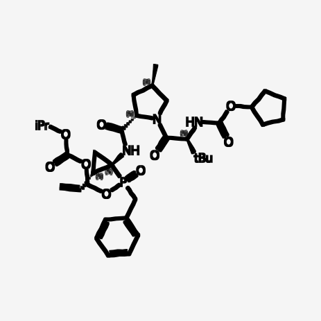 C=C[C@@H]1C[C@]1(NC(=O)[C@@H]1C[C@@H](C)CN1C(=O)[C@@H](NC(=O)OC1CCCC1)C(C)(C)C)P(=O)(Cc1ccccc1)OCOC(=O)OC(C)C